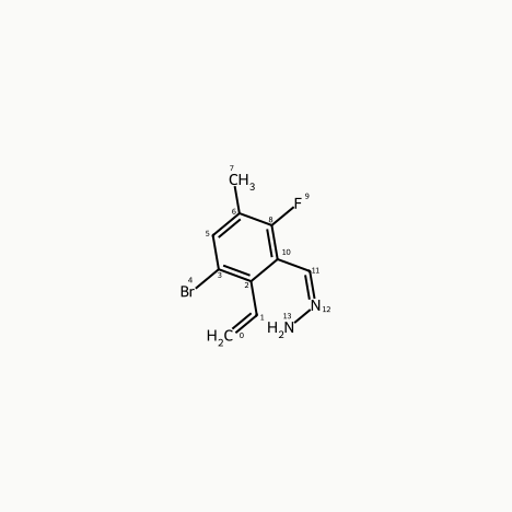 C=Cc1c(Br)cc(C)c(F)c1/C=N\N